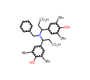 CC(C)(C)c1cc(C(CC(=O)O)N(Cc2ccccc2)C(CC(=O)O)c2cc(C(C)(C)C)c(O)c(C(C)(C)C)c2)cc(C(C)(C)C)c1O